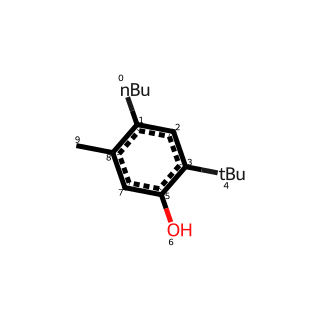 CCCCc1cc(C(C)(C)C)c(O)cc1C